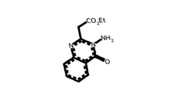 CCOC(=O)Cc1nc2ccccc2c(=O)n1N